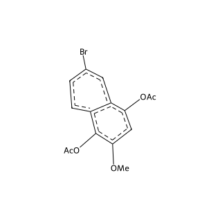 COc1cc(OC(C)=O)c2cc(Br)ccc2c1OC(C)=O